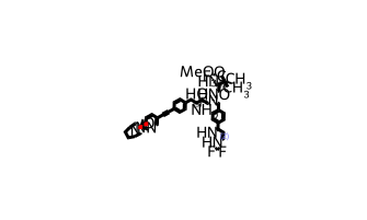 COC(=O)N[C@H](C(=O)NN(Cc1ccc(C(=N)/C=C\NC(F)F)cc1)C[C@H](O)[C@@H](N)Cc1ccc(C#Cc2ccc(N3CC4CCC(C3)N4C3COC3)nc2)cc1)C(C)(C)C(F)(F)F